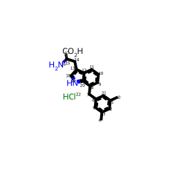 Cc1cc(C)cc(Cc2cccc3c(CC(N)C(=O)O)c[nH]c23)c1.Cl